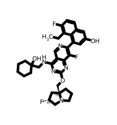 CCc1c(F)ccc2cc(O)cc(-c3ncc4c(NCC5(O)CCCCC5)nc(OC[C@@]56CCCN5C[C@H](F)C6)nc4c3F)c12